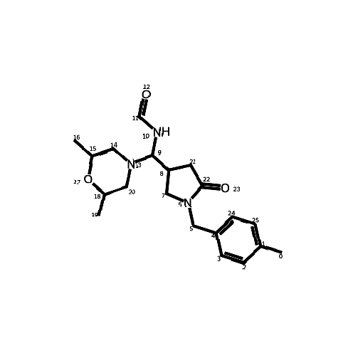 Cc1ccc(CN2CC(C(NC=O)N3CC(C)OC(C)C3)CC2=O)cc1